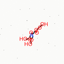 O=C(CCC(=O)N1CCC(OCCO)(OCCO)CC1)OCCOCCO